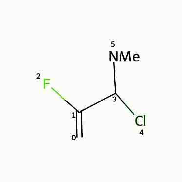 C=C(F)C(Cl)NC